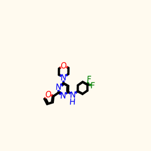 FC1(F)CCC(Nc2cc(N3CCOCC3)nc(-c3ccco3)n2)CC1